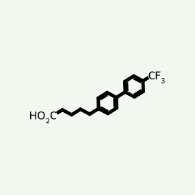 O=C(O)CCCCc1ccc(-c2ccc(C(F)(F)F)cc2)cc1